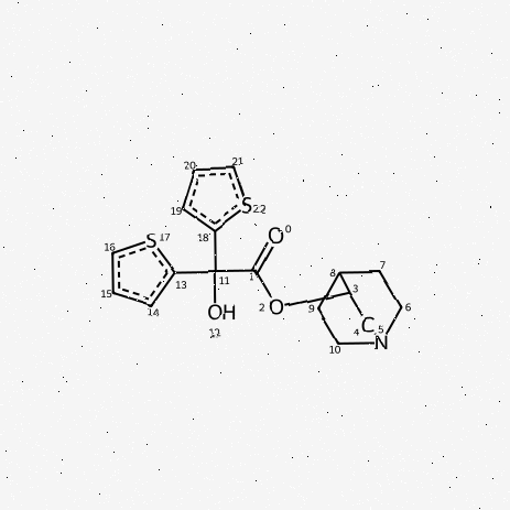 O=C(OC1CN2CCC1CC2)C(O)(c1cccs1)c1cccs1